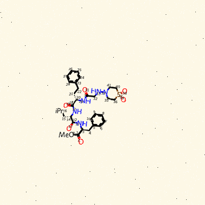 COC(=O)[C@H](Cc1ccccc1)NC(=O)[C@H](CC(C)C)NC(=O)[C@H](CCc1ccccc1)NC(=O)CNN1CCS(=O)(=O)CC1